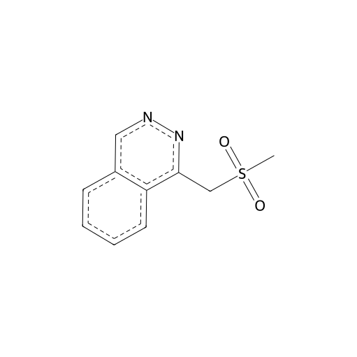 CS(=O)(=O)Cc1nncc2ccccc12